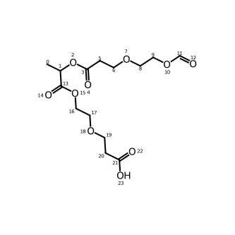 CC(OC(=O)CCOCCOC=O)C(=O)OCCOCCC(=O)O